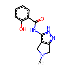 CC(=O)N1Cc2n[nH]c(NC(=O)c3ccccc3O)c2C1